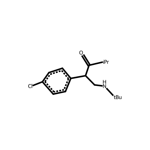 CC(C)C(=O)C(CNC(C)(C)C)c1ccc(Cl)cc1